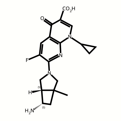 CC12C[C@H](N)[C@@H]1CN(c1nc3c(cc1F)c(=O)c(C(=O)O)cn3C1CC1)C2